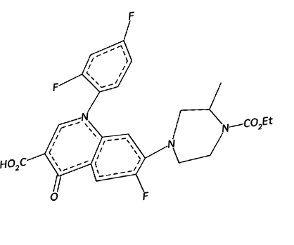 CCOC(=O)N1CCN(c2cc3c(cc2F)c(=O)c(C(=O)O)cn3-c2ccc(F)cc2F)CC1C